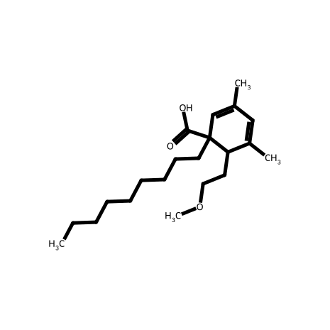 CCCCCCCCCC1(C(=O)O)C=C(C)C=C(C)C1CCOC